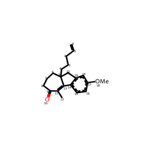 C=CCCCC12CCCC(=O)C(C)=C1c1ccc(OC)cc1C2